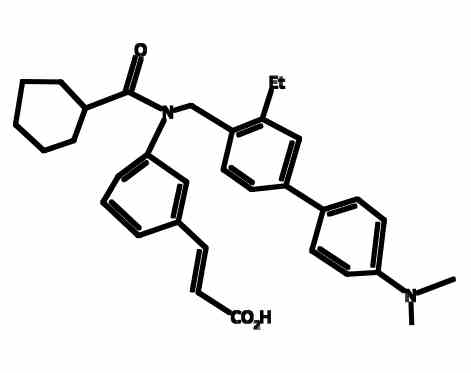 CCc1cc(-c2ccc(N(C)C)cc2)ccc1CN(C(=O)C1CCCCC1)c1cccc(C=CC(=O)O)c1